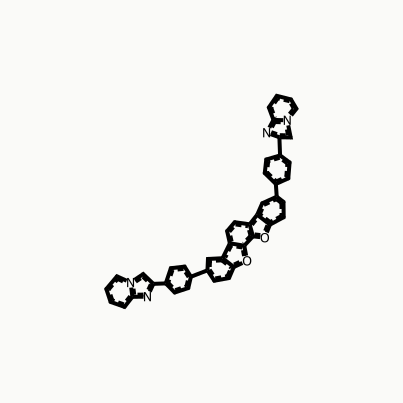 c1ccn2cc(-c3ccc(-c4ccc5oc6c(ccc7c8cc(-c9ccc(-c%10cn%11ccccc%11n%10)cc9)ccc8oc76)c5c4)cc3)nc2c1